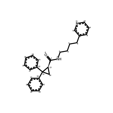 O=C(NCCCCc1cccnc1)[C@H]1CC1(c1ccccc1)c1ccccc1